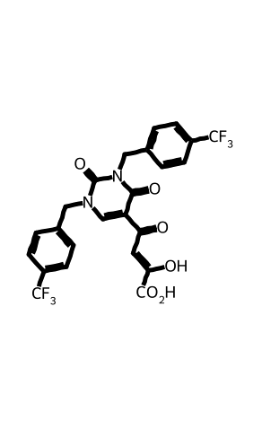 O=C(O)C(O)=CC(=O)c1cn(Cc2ccc(C(F)(F)F)cc2)c(=O)n(Cc2ccc(C(F)(F)F)cc2)c1=O